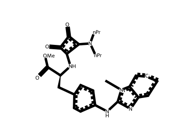 CCCN(CCC)c1c(N[C@@H](Cc2ccc(Nc3nc4ccccc4n3C)cc2)C(=O)OC)c(=O)c1=O